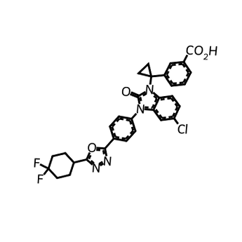 O=C(O)c1cccc(C2(n3c(=O)n(-c4ccc(-c5nnc(C6CCC(F)(F)CC6)o5)cc4)c4cc(Cl)ccc43)CC2)c1